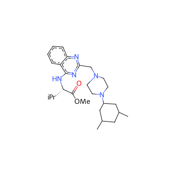 COC(=O)[C@@H](Nc1nc(CN2CCN(C3CC(C)CC(C)C3)CC2)nc2ccccc12)C(C)C